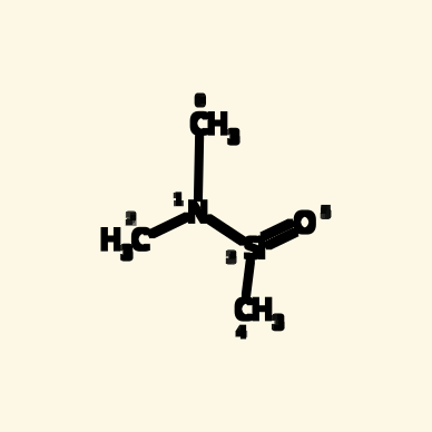 CN(C)[Si](C)=O